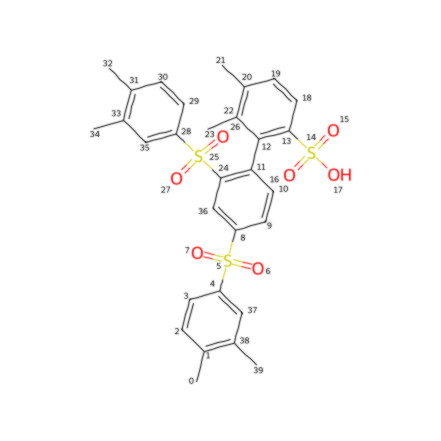 Cc1ccc(S(=O)(=O)c2ccc(-c3c(S(=O)(=O)O)ccc(C)c3C)c(S(=O)(=O)c3ccc(C)c(C)c3)c2)cc1C